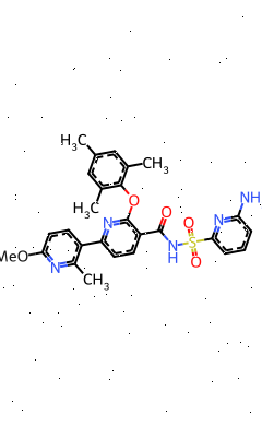 COc1ccc(-c2ccc(C(=O)NS(=O)(=O)c3cccc(N)n3)c(Oc3c(C)cc(C)cc3C)n2)c(C)n1